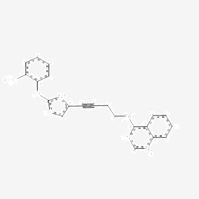 Cc1ccccc1Oc1nc(C#CCCNc2ncnc3ccccc23)cs1